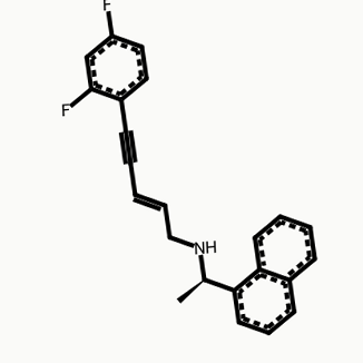 C[C@@H](NC/C=C/C#Cc1ccc(F)cc1F)c1cccc2ccccc12